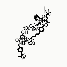 Cc1ncsc1-c1ccc(CNC(=O)[C@@H]2C[C@@H](O)CN2C(=O)[C@@H](NC(=O)CCCCc2ccc(CO[C@H](C)[C@H](CCC(N)=O)NC(=O)[C@@H]3[C@@H]4C[C@@H]4CN3C(=O)[C@H](CC(C)C)NC(=O)OC(C)(C)C)cc2)C(C)(C)C)cc1